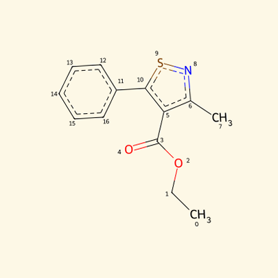 CCOC(=O)c1c(C)nsc1-c1ccccc1